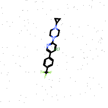 Cl.FC(F)(F)c1ccc(-c2ccc(N3CCN(C4CC4)CC3)nc2)cc1